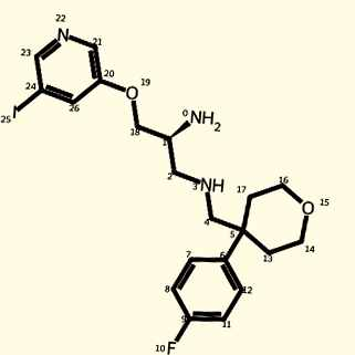 N[C@@H](CNCC1(c2ccc(F)cc2)CCOCC1)COc1cncc(I)c1